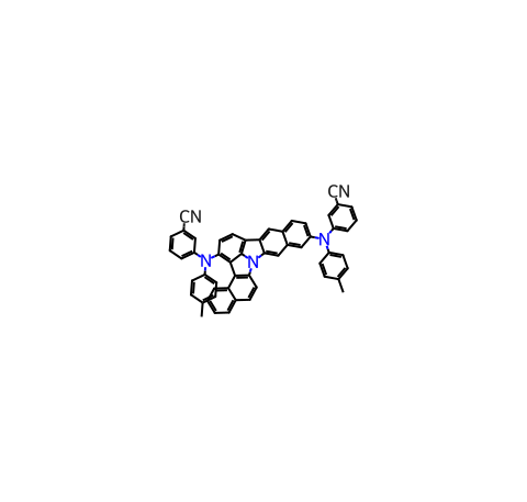 Cc1ccc(N(c2cccc(C#N)c2)c2ccc3cc4c5ccc(N(c6ccc(C)cc6)c6cccc(C#N)c6)c6c7c8ccccc8ccc7n(c4cc3c2)c56)cc1